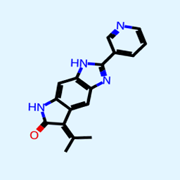 CC(C)=C1C(=O)Nc2cc3[nH]c(-c4cccnc4)nc3cc21